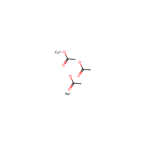 CC(=O)[O-].CC(=O)[O-].CC(=O)[O-].[Cu+2].[Na+]